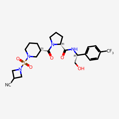 N#CC1CN(S(=O)(=O)N2CCC[C@H](C(=O)N3CCC[C@@H]3C(=O)N[C@@H](CO)c3ccc(C(F)(F)F)cc3)C2)C1